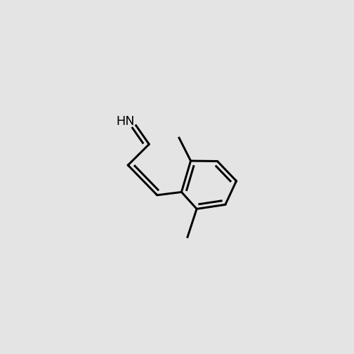 Cc1cccc(C)c1/C=C\C=N